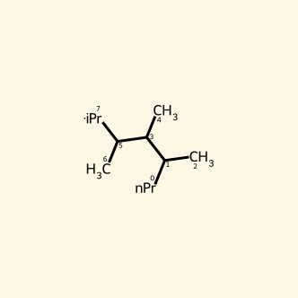 [CH2]CCC(C)C(C)C(C)[C](C)C